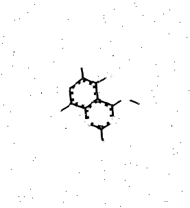 COc1nc(Cl)nc2c(Br)cc(I)c(N)c12